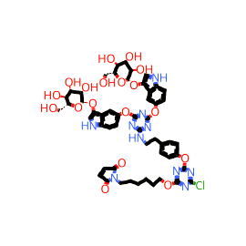 O=C1C=CC(=O)N1CCCCCCOc1nc(Cl)nc(Oc2ccc(CCNc3nc(Oc4ccc5[nH]cc(O[C@@H]6O[C@H](CO)[C@@H](O)[C@H](O)[C@H]6O)c5c4)nc(Oc4ccc5[nH]cc(O[C@@H]6O[C@H](CO)[C@@H](O)[C@H](O)[C@H]6O)c5c4)n3)cc2)n1